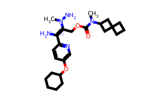 CN(N)/C(COC(=O)N(C)C1CC2(CCC2)C1)=C(\N)c1ccc(OC2CCCCC2)cn1